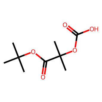 CC(C)(C)OC(=O)C(C)(C)OC(=O)O